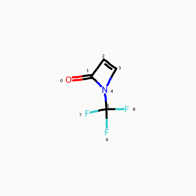 O=C1C=CN1C(F)(F)F